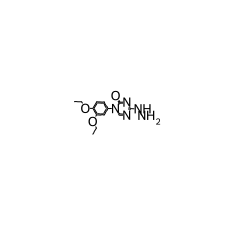 CCOc1ccc(-n2cnc(NN)nc2=O)cc1OCC